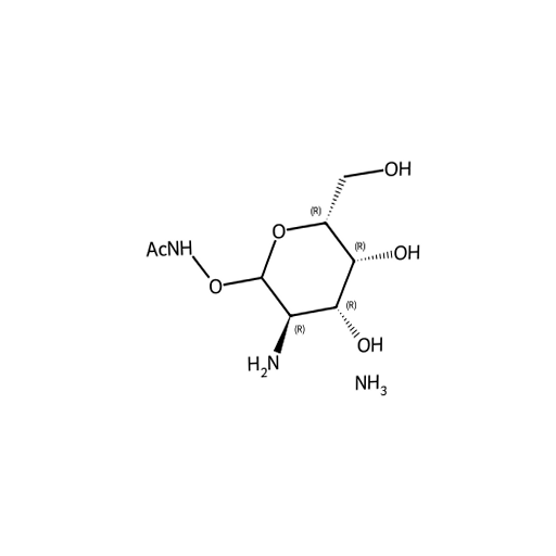 CC(=O)NOC1O[C@H](CO)[C@H](O)[C@H](O)[C@H]1N.N